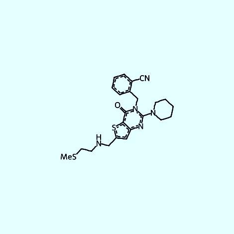 CSCCNCc1cc2nc(N3CCCCC3)n(Cc3ccccc3C#N)c(=O)c2s1